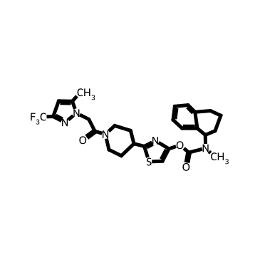 Cc1cc(C(F)(F)F)nn1CC(=O)N1CCC(c2nc(OC(=O)N(C)C3CCCc4ccccc43)cs2)CC1